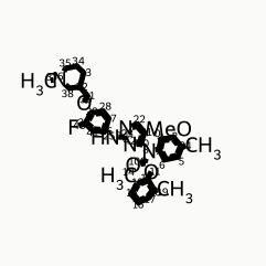 COc1cc(C)ccc1N(C(=O)Oc1c(C)cccc1C)c1ccnc(Nc2ccc(OCC3CCCN(C)C3)c(F)c2)n1